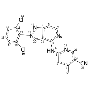 Cc1cc(Nc2nccc3nn(-c4c(Cl)cccc4Cl)cc23)ncc1C#N